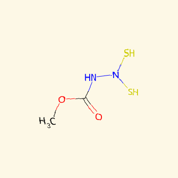 COC(=O)NN(S)S